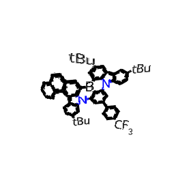 CC(C)(C)c1ccc2c(c1)c1cc(C(C)(C)C)cc3c1n2-c1cc(-c2ccc(C(F)(F)F)cc2)cc2c1B3c1cc3ccc4ccccc4c3c3c4ccc(C(C)(C)C)cc4n-2c13